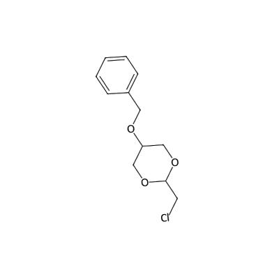 ClCC1OCC(OCc2ccccc2)CO1